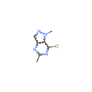 Cc1nc(Cl)c2c(cnn2C)n1